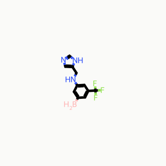 Bc1cc(NCc2cnc[nH]2)cc(C(F)(F)F)c1